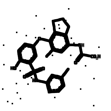 Cc1cccc(NS(=O)(=O)c2cc(Oc3c(C)cc(NC(=O)C(=O)O)c4c3CCC4)ccc2O)c1